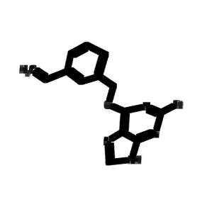 C=Cc1cccc(COc2nc(CC)nc3[nH]cnc23)c1